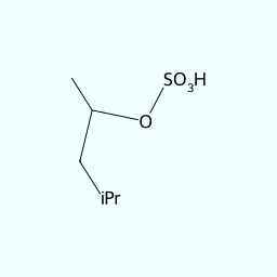 CC(C)CC(C)OS(=O)(=O)O